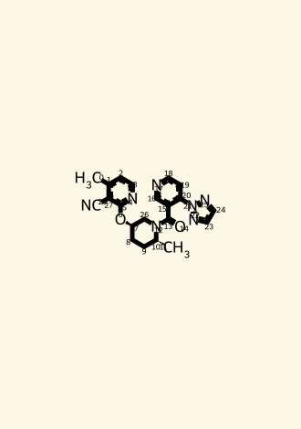 Cc1ccnc(O[C@@H]2CC[C@@H](C)N(C(=O)c3cnccc3-n3nccn3)C2)c1C#N